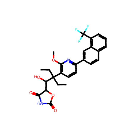 CCC(CC)(c1ccc(-c2ccc3cccc(C(F)(F)F)c3c2)nc1OC)C(O)C1OC(=O)NC1=O